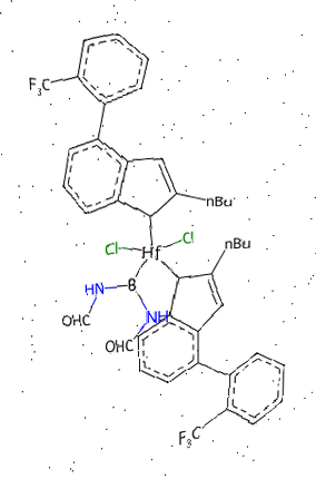 CCCCC1=Cc2c(-c3ccccc3C(F)(F)F)cccc2[CH]1[Hf]([Cl])([Cl])([B](NC=O)NC=O)[CH]1C(CCCC)=Cc2c(-c3ccccc3C(F)(F)F)cccc21